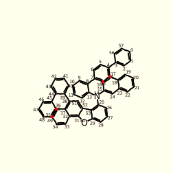 c1ccc(-c2ccc(-c3ccccc3N(c3ccc4ccccc4c3)c3cccc4oc5c6ccccc6c(-c6ccccc6-c6ccccc6)cc5c34)cc2)cc1